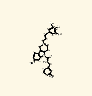 N#Cc1ccc2c3c(n(C(=O)NCc4ccnc(F)c4)c2c1)CCN(CC=Cc1cc(F)c(Cl)c(F)c1)C3